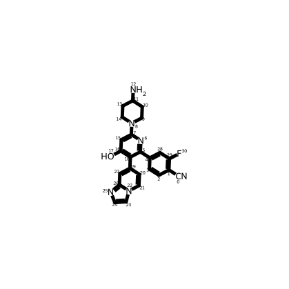 N#Cc1ccc(-c2nc(N3CCC(N)CC3)cc(O)c2-c2ccn3ccnc3c2)cc1F